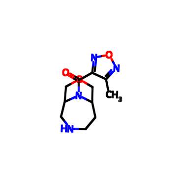 Cc1nonc1C(=O)N1C2CCNCC1COC2